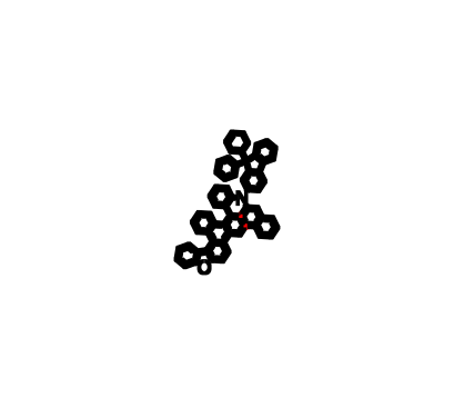 C1=CCCC(C2(c3ccccc3)c3ccccc3-c3ccc(N(c4ccc5ccccc5c4)c4ccccc4-c4cccc5c6ccc7oc8ccccc8c7c6c6ccccc6c45)cc32)=C1